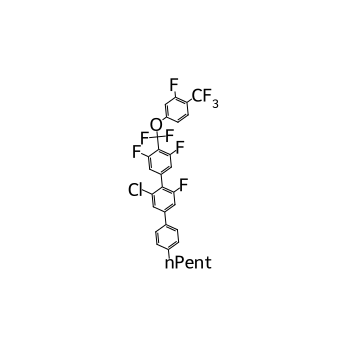 CCCCCc1ccc(-c2cc(F)c(-c3cc(F)c(C(F)(F)Oc4ccc(C(F)(F)F)c(F)c4)c(F)c3)c(Cl)c2)cc1